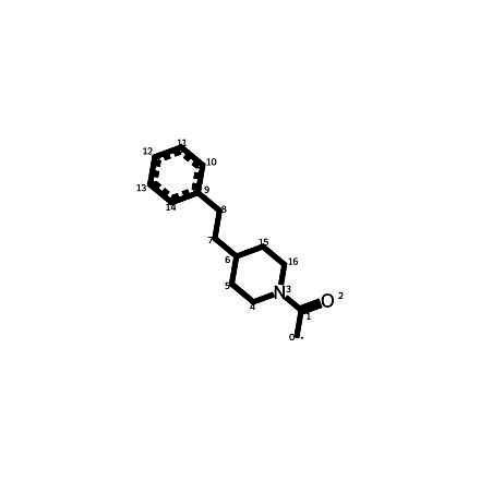 [CH2]C(=O)N1CCC(CCc2ccccc2)CC1